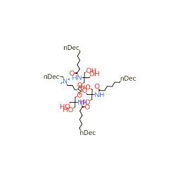 CCCCCCCCCCCCCCCC(=O)NC(CO)(CO)CO[Si](CCC[N+](C)(C)CCCCCCCCCCC)(OCC(CO)(CO)NC(=O)CCCCCCCCCCCCCCC)OCC(CO)(CO)NC(=O)CCCCCCCCCCCCCCC